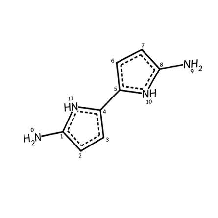 Nc1ccc(-c2ccc(N)[nH]2)[nH]1